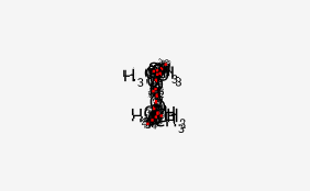 CC(C)(C)NC(CC(=O)OCC1CCC(COC(=O)CC(NC(C)(C)C)C(=O)OC2CCCCC2)CC1)C(=O)OC1CCCCC1